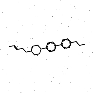 CC=CCCC1CCC(c2ccc(-c3ccc(CCC)cc3)cc2)CC1